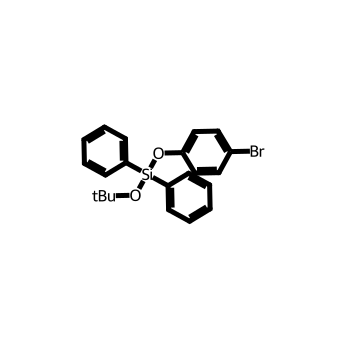 CC(C)(C)O[Si](Oc1ccc(Br)cc1)(c1ccccc1)c1ccccc1